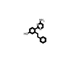 Nc1ccnc(-c2ccc(O)cc2CCc2ccccc2)n1